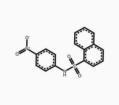 O=[N+]([O-])c1ccc(NS(=O)(=O)c2cccc3ccccc23)cc1